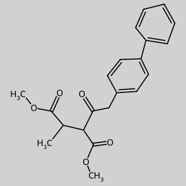 COC(=O)C(C)C(C(=O)Cc1ccc(-c2ccccc2)cc1)C(=O)OC